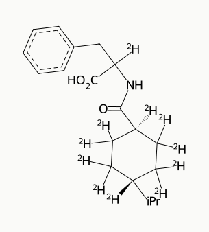 [2H]C(Cc1ccccc1)(NC(=O)[C@]1([2H])C([2H])([2H])C([2H])([2H])[C@@]([2H])(C(C)C)C([2H])([2H])C1([2H])[2H])C(=O)O